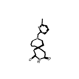 Cc1cccc(CN2CCC3(CC2)CC(=O)NC(=O)C3)n1